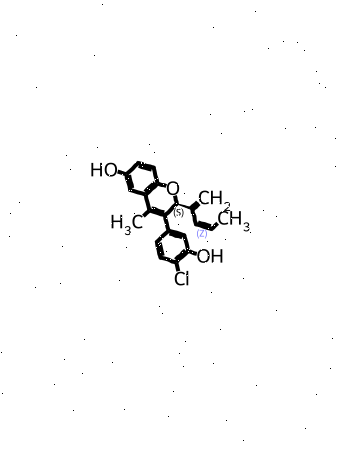 C=C(/C=C\C)[C@@H]1Oc2ccc(O)cc2C(C)=C1c1ccc(Cl)c(O)c1